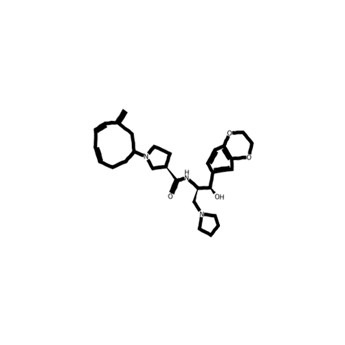 C=C1/C=C\C=C/CCC(N2CC[C@@H](C(=O)N[C@H](CN3CCCC3)[C@H](O)c3ccc4c(c3)OCCO4)C2)C1